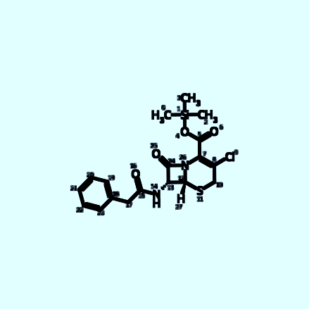 C[Si](C)(C)OC(=O)C1=C(Cl)CS[C@@H]2[C@H](NC(=O)Cc3ccccc3)C(=O)N12